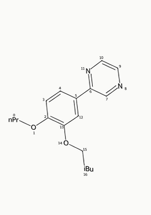 CCCOc1ccc(-c2cnccn2)cc1OCC(C)CC